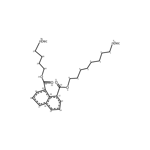 CCCCCCCCCCCCCCCCCCOC(=O)c1cccc2cccc(C(=O)OCCCCCCCCCCCCCC)c12